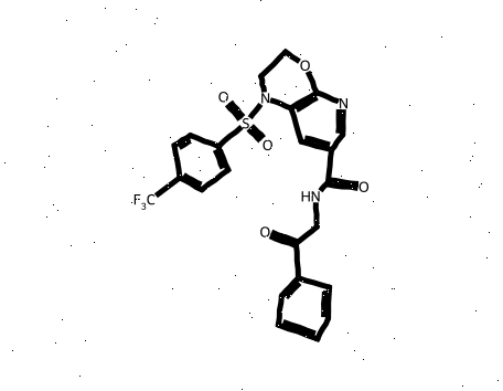 O=C(CNC(=O)c1cnc2c(c1)N(S(=O)(=O)c1ccc(C(F)(F)F)cc1)CCO2)c1ccccc1